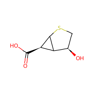 O=C(O)[C@H]1C2SC[C@@H](O)C21